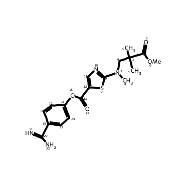 COC(=O)C(C)(C)CN(C)c1ncc(C(=O)Oc2ccc(C(=N)N)cc2)s1